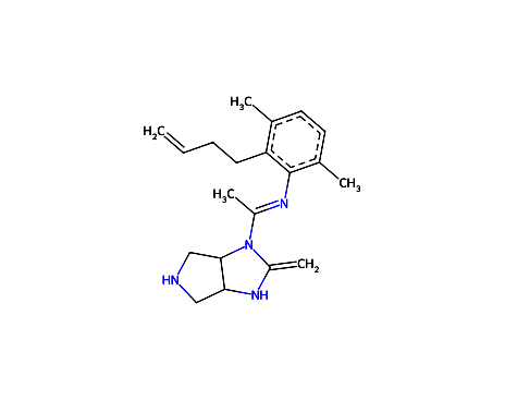 C=CCCc1c(C)ccc(C)c1/N=C(\C)N1C(=C)NC2CNCC21